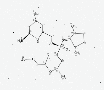 B[C@H]1CN(C(C)(C)C)CC(CO[P@](=O)(N=C2N(C)CCN2C)N2CC(COC(C)(C)C)O[C@@H](B)C2)O1